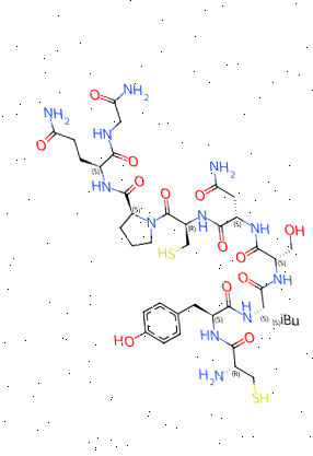 CC[C@H](C)[C@H](NC(=O)[C@H](Cc1ccc(O)cc1)NC(=O)[C@@H](N)CS)C(=O)N[C@@H](CO)C(=O)N[C@@H](CC(N)=O)C(=O)N[C@@H](CS)C(=O)N1CCC[C@H]1C(=O)N[C@@H](CCC(N)=O)C(=O)NCC(N)=O